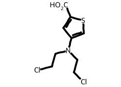 O=C(O)c1cc(N(CCCl)CCCl)cs1